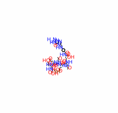 CC(=O)CC[C@H](NC(=O)CC[C@@H](NC(=O)c1ccc(NCc2cnc3nc(N)[nH]c(=O)c3n2)cc1)C(=O)O)C(=O)N[C@H](CCC(=O)O)C(=O)N[C@@H](CCC(C)=O)C(=O)N[C@H](CCC(=O)O)C(=O)N[C@@H](CCC(C)=O)C(=O)N[C@H](CS)C(=O)O